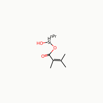 CCC[SiH](O)OC(=O)C(C)=C(C)C